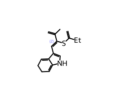 C=C(CC)S/C(=C\c1c[nH]c2c1=CCCC=2)C(=C)C